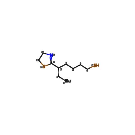 CCC(C)CC(CCCCS)C1=NCCS1